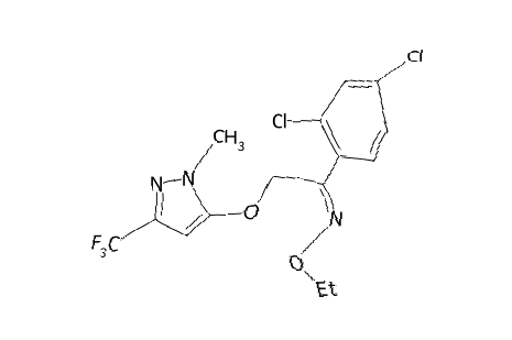 CCON=C(COc1cc(C(F)(F)F)nn1C)c1ccc(Cl)cc1Cl